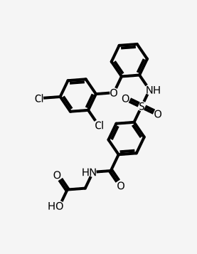 O=C(O)CNC(=O)c1ccc(S(=O)(=O)Nc2ccccc2Oc2ccc(Cl)cc2Cl)cc1